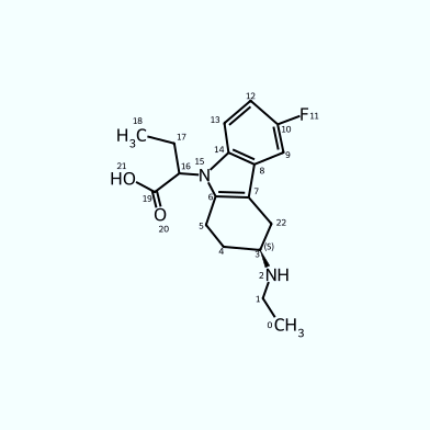 CCN[C@H]1CCc2c(c3cc(F)ccc3n2C(CC)C(=O)O)C1